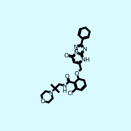 CC(C)(CNC(=O)C1=C(Cl)C=CCC1OCc1cc(=O)n2nc(C3=CCCC=C3)nc2[nH]1)N1CCOCC1